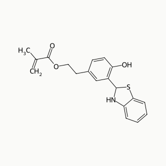 C=C(C)C(=O)OCCc1ccc(O)c(C2Nc3ccccc3S2)c1